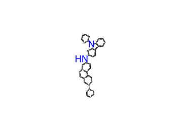 c1ccc(-c2ccc3c(ccc4cc(Nc5ccc6c7ccccc7n(-c7ccccc7)c6c5)ccc43)c2)cc1